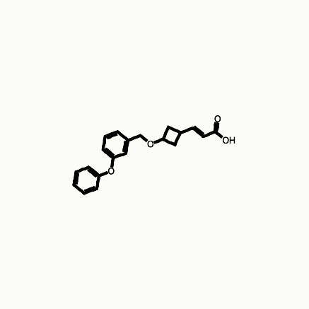 O=C(O)C=CC1CC(OCc2cccc(Oc3ccccc3)c2)C1